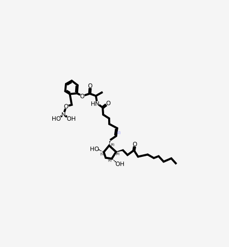 CCCCCCCC(=O)CC[C@@H]1[C@@H](C/C=C\CCCC(=O)NC(C)C(=O)Oc2ccccc2CON(O)O)[C@@H](O)C[C@H]1O